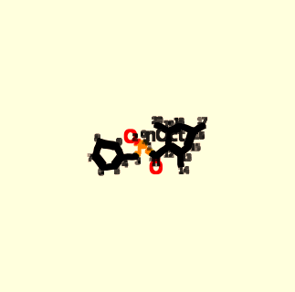 CCCCCCCCP(=O)(Cc1ccccc1)C(=O)c1c(C)cc(C)cc1C